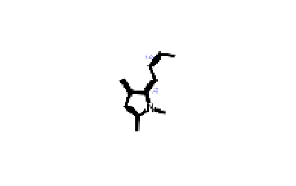 C=c1cc(C)n(C)/c1=C/C=C\C